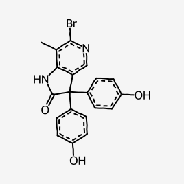 Cc1c(Br)ncc2c1NC(=O)C2(c1ccc(O)cc1)c1ccc(O)cc1